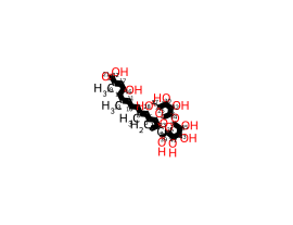 C=CC(C)(CC/C=C(\C)CC/C=C(\C)CC(O)/C=C(\C)C(=O)O)O[C@@H]1O[C@H](CO)[C@@H](O)[C@H](O)[C@H]1O[C@@H]1O[C@H](CO)[C@@H](O)[C@H](O)[C@H]1O